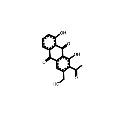 CC(=O)c1c(CO)cc2c(c1O)C(=O)c1c(O)cccc1C2=O